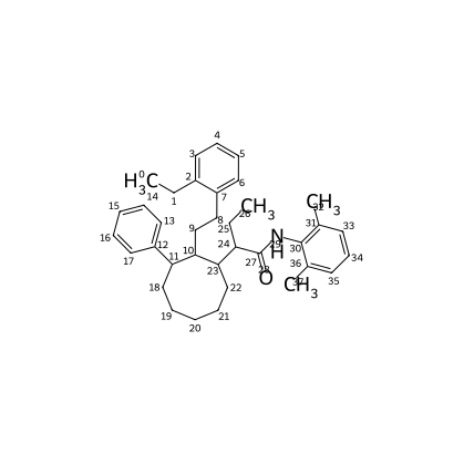 CCc1ccccc1CCC1C(c2ccccc2)CCCCCC1C(CC)C(=O)Nc1c(C)cccc1C